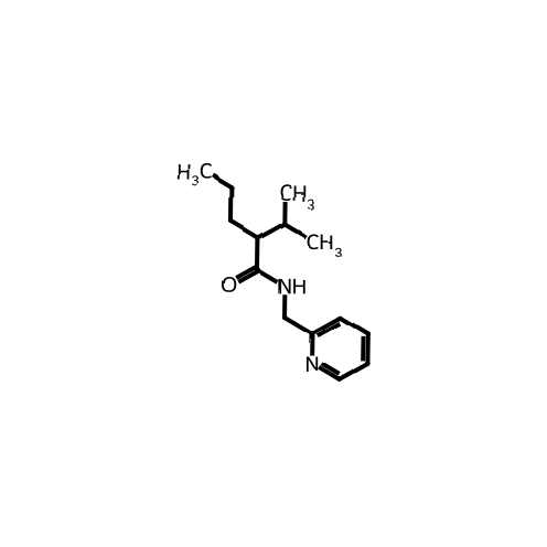 CCCC(C(=O)NCc1ccccn1)C(C)C